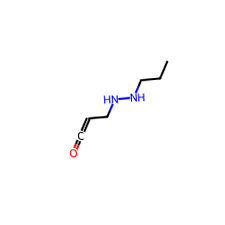 CCCNNCC=C=O